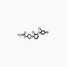 NC(=O)OC1CCN(c2nccc(Oc3ccc(Br)cc3Cl)c2Cl)CC1